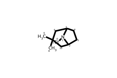 CCN1C2CCC1CC(C)(C)C2